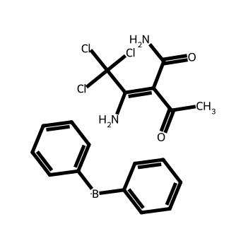 CC(=O)C(C(N)=O)=C(N)C(Cl)(Cl)Cl.[B](c1ccccc1)c1ccccc1